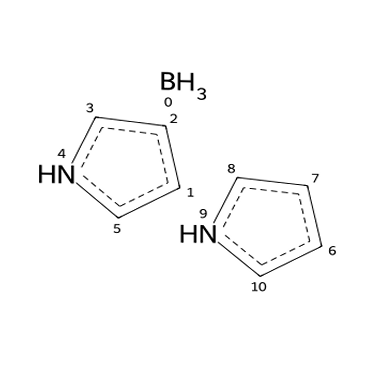 B.c1cc[nH]c1.c1cc[nH]c1